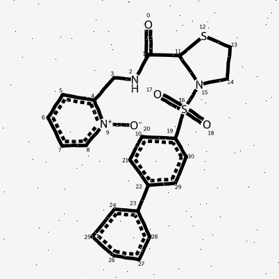 O=C(NCc1cccc[n+]1[O-])C1SCCN1S(=O)(=O)c1ccc(-c2ccccc2)cc1